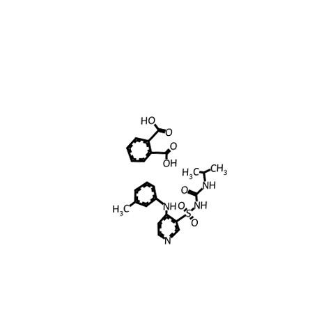 Cc1cccc(Nc2ccncc2S(=O)(=O)NC(=O)NC(C)C)c1.O=C(O)c1ccccc1C(=O)O